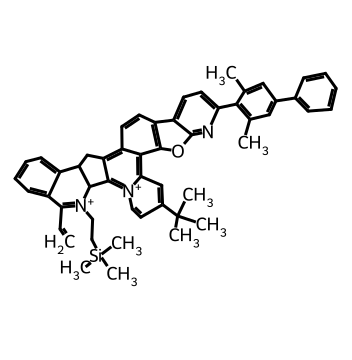 C=CC1=[N+](CC[Si](C)(C)C)C2c3c(c4ccc5c6ccc(-c7c(C)cc(-c8ccccc8)cc7C)nc6oc5c4c4cc(C(C)(C)C)cc[n+]34)CC2c2ccccc21